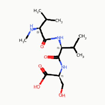 CN[C@H](C(=O)N[C@H](C(=O)N[C@@H](CO)C(=O)O)C(C)C)C(C)C